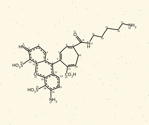 N=c1ccc2c(C3=CC=C(C(=O)NCCCCCN)CC=C3C(=O)O)c3ccc(N)c(S(=O)(=O)O)c3oc-2c1S(=O)(=O)O